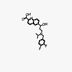 CC(C)N(CCC(O)c1ccc2nc(C(=O)O)ccc2c1)Cc1ccc(F)c(F)c1